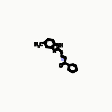 Cc1ccc2[nH]c(S/C=C/C(=O)c3ccccc3)nc2c1